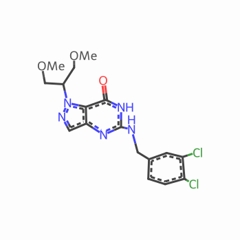 COCC(COC)n1ncc2nc(NCc3ccc(Cl)c(Cl)c3)[nH]c(=O)c21